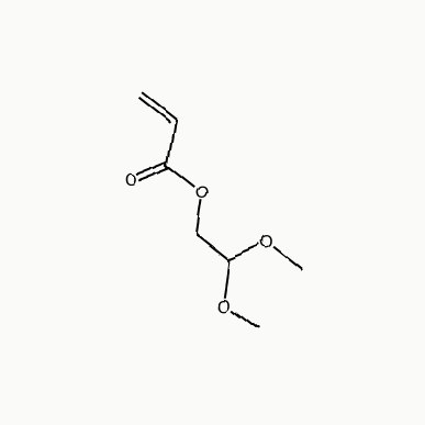 C=CC(=O)OCC(OC)OC